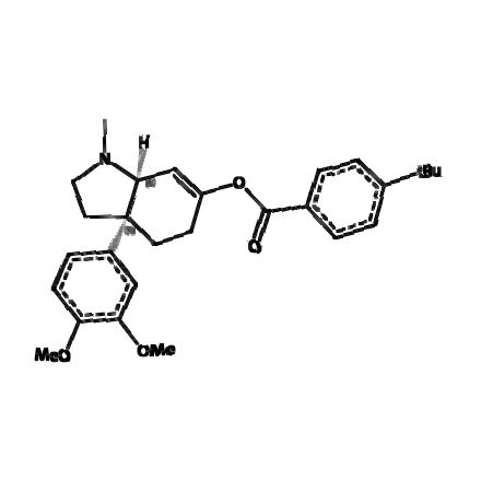 COc1ccc([C@@]23CCC(OC(=O)c4ccc(C(C)(C)C)cc4)=C[C@@H]2N(C)CC3)cc1OC